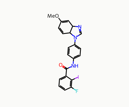 COC1=CC2N=CN(c3ccc(NC(=O)c4cccc(F)c4I)cc3)C2C=C1